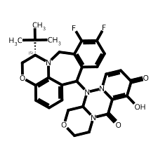 CC(C)(C)[C@H]1COc2cccc3c2N1Cc1c(ccc(F)c1F)C3N1C2COCCN2C(=O)c2c(O)c(=O)ccn21